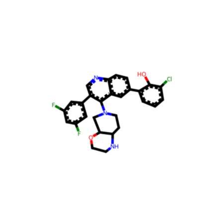 Oc1c(Cl)cccc1-c1ccc2ncc(-c3cc(F)cc(F)c3)c(N3CCC4NCCOC4C3)c2c1